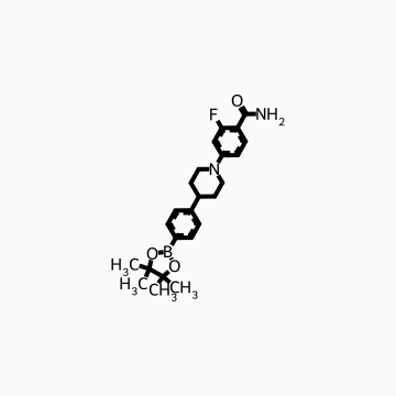 CC1(C)OB(c2ccc(C3CCN(c4ccc(C(N)=O)c(F)c4)CC3)cc2)OC1(C)C